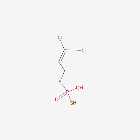 O=P(O)(S)SCC=C(Cl)Cl